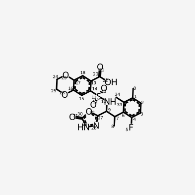 Cc1ccc(F)c(C(C)C(NS(=O)(=O)c2cc3c(cc2C(=O)O)OCCO3)c2n[nH]c(=O)o2)c1C